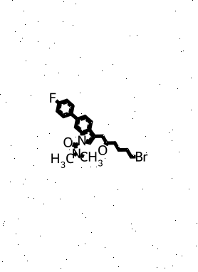 CN(C)C(=O)n1cc(CC(=O)CCCCBr)c2ccc(-c3ccc(F)cc3)cc21